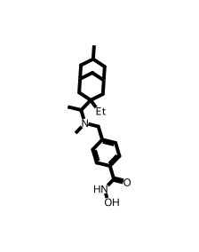 CCC1(C(C)N(C)Cc2ccc(C(=O)NO)cc2)CC2CC(C)CC(C2)C1